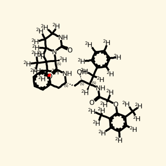 [2H]c1c([2H])c([2H])c(C([2H])([2H])[C@]([2H])(NC(=O)C([2H])([2H])Oc2c(C([2H])([2H])[2H])c([2H])c([2H])c([2H])c2C([2H])([2H])[2H])[C@@H](O)C[C@H](Cc2ccccc2)NC(=O)[C@@]([2H])(N2C(=O)NC([2H])([2H])C([2H])([2H])C2([2H])[2H])C([2H])(C([2H])([2H])[2H])C([2H])([2H])[2H])c([2H])c1[2H]